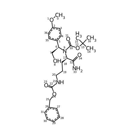 COc1ccc([C@H](CO)N(C(=O)OC(C)(C)C)[C@H](CCCNC(=O)OCc2ccccc2)C(N)=O)cc1